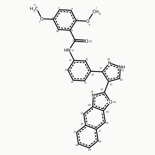 COc1ccc(OC)c(C(=O)Nc2cccc(-c3n[nH]cc3-c3nc4cc5ccccc5cc4o3)c2)c1